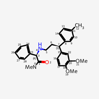 CNC(=O)[C@H](NCC[C@@H](c1ccc(C)cc1)c1ccc(OC)c(OC)c1)c1ccccc1